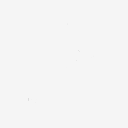 CC(C)CC(CNC(=O)c1cc(Cc2ccc(CCC(=O)O)cc2)ccc1O)c1ccccc1